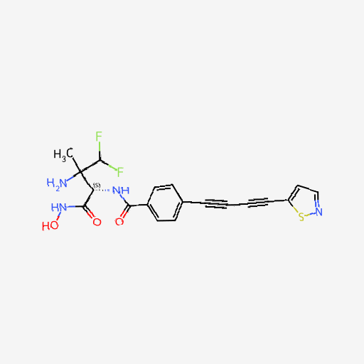 CC(N)(C(F)F)[C@H](NC(=O)c1ccc(C#CC#Cc2ccns2)cc1)C(=O)NO